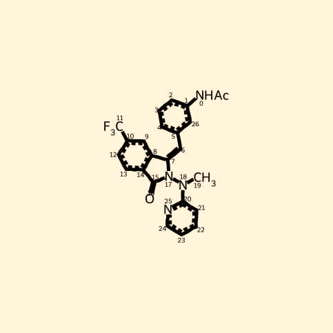 CC(=O)Nc1cccc(C=C2c3cc(C(F)(F)F)ccc3C(=O)N2N(C)c2ccccn2)c1